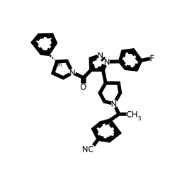 CC(c1ccc(C#N)cc1)N1CCC(c2c(C(=O)N3CC[C@H](c4ccccc4)C3)cnn2-c2ccc(F)cc2)CC1